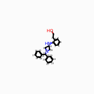 OCCc1ccccc1NC1CN(C(c2ccccc2)c2ccccc2)C1